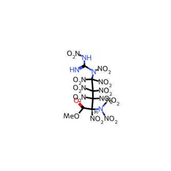 COC(=O)[C@](N([N+](=O)[O-])[N+](=O)[O-])([N+](=O)[O-])C([N+](=O)[O-])([N+](=O)[O-])C([N+](=O)[O-])([N+](=O)[O-])C(N(C(=N)N[N+](=O)[O-])[N+](=O)[O-])([N+](=O)[O-])[N+](=O)[O-]